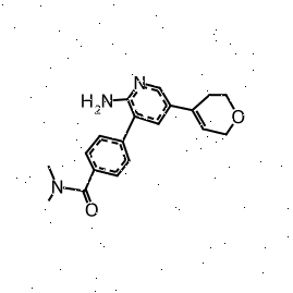 CN(C)C(=O)c1ccc(-c2cc(C3=CCOCC3)cnc2N)cc1